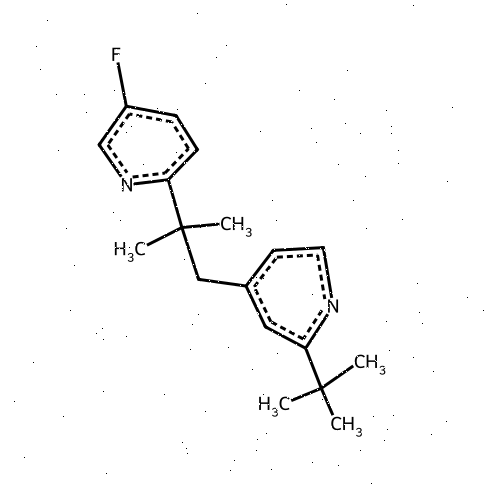 CC(C)(C)c1cc(CC(C)(C)c2ccc(F)cn2)ccn1